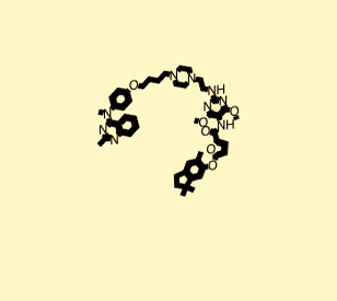 COc1nc(NCCN2CCN(CCCCOc3ccc(N(C)c4nc(C)nc5ccccc45)cc3)CC2)nc(OC)c1NC(=O)c1ccc(Oc2cc3c(cc2C)CCC3(C)C)o1